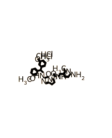 COc1cccc(C(CNc2ncc3n(c2=O)[C@H](C(=O)NCc2ccc(N)nc2C)CC3)c2cccc(OC)c2)c1.Cl.Cl